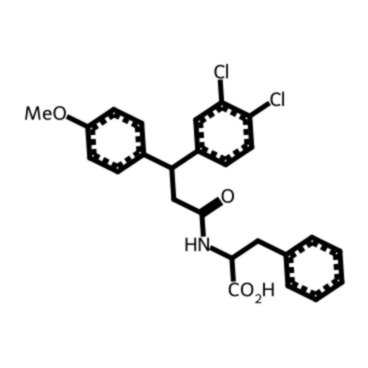 COc1ccc(C(CC(=O)NC(Cc2ccccc2)C(=O)O)c2ccc(Cl)c(Cl)c2)cc1